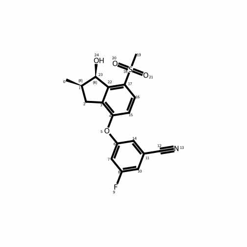 C[C@@H]1Cc2c(Oc3cc(F)cc(C#N)c3)ccc(S(C)(=O)=O)c2[C@@H]1O